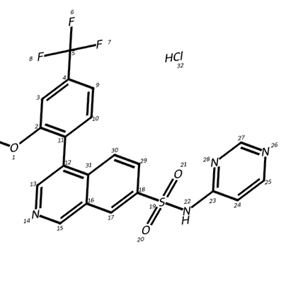 COc1cc(C(F)(F)F)ccc1-c1cncc2cc(S(=O)(=O)Nc3ccncn3)ccc12.Cl